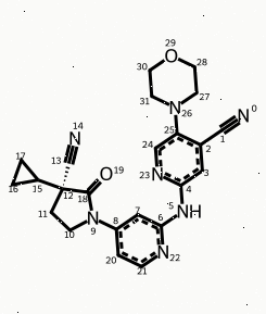 N#Cc1cc(Nc2cc(N3CC[C@@](C#N)(C4CC4)C3=O)ccn2)ncc1N1CCOCC1